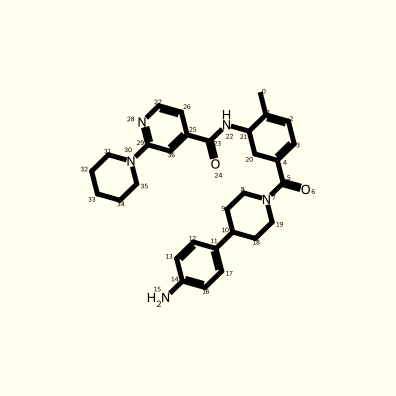 CC1=CC=C(C(=O)N2CCC(c3ccc(N)cc3)CC2)CC1NC(=O)c1ccnc(N2CCCCC2)c1